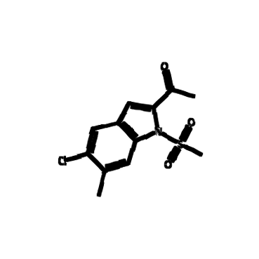 CC(=O)c1cc2cc(Cl)c(C)cc2n1S(C)(=O)=O